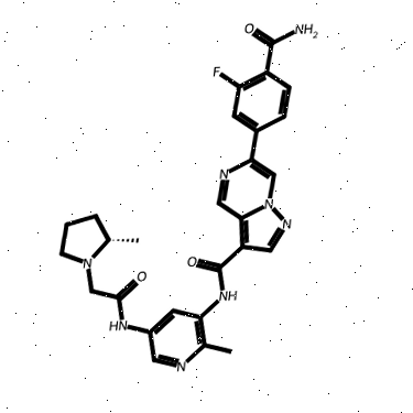 Cc1ncc(NC(=O)CN2CCC[C@@H]2C)cc1NC(=O)c1cnn2cc(-c3ccc(C(N)=O)c(F)c3)ncc12